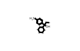 CCC(O)(c1ccc([SiH3])cc1)C1CCCCC1